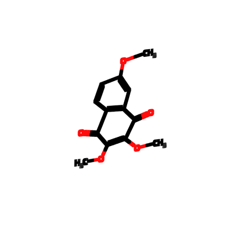 COC1=C(OC)C(=O)c2cc(OC)ccc2C1=O